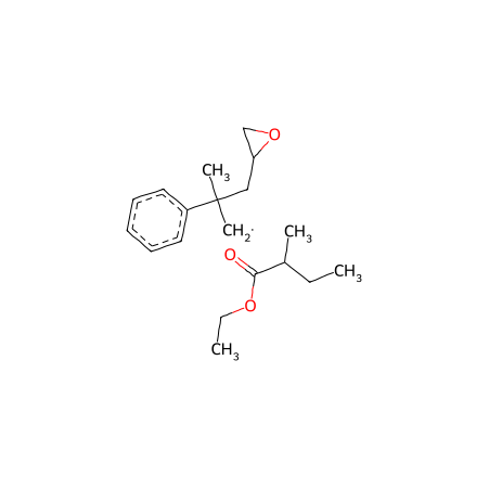 CCOC(=O)C(C)CC.[CH2]C(C)(CC1CO1)c1ccccc1